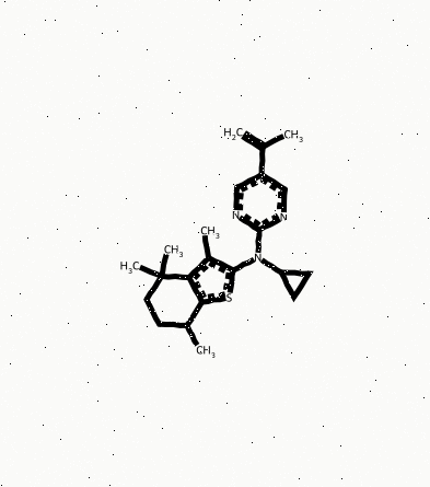 C=C(C)c1cnc(N(c2sc3c(c2C)C(C)(C)CCC3C)C2CC2)nc1